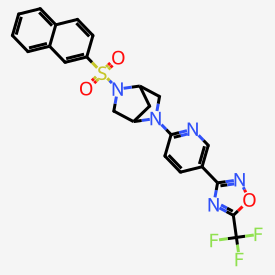 O=S(=O)(c1ccc2ccccc2c1)N1CC2CC1CN2c1ccc(-c2noc(C(F)(F)F)n2)cn1